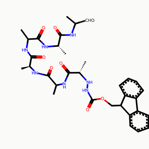 CC(C=O)NC(=O)[C@H](C)NC(=O)C(C)NC(=O)[C@H](C)NC(=O)C(C)NC(=O)[C@H](C)NNC(=O)OCC1c2ccccc2-c2ccccc21